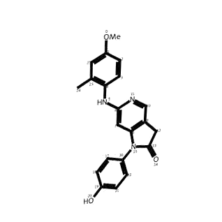 COc1ccc(Nc2cc3c(cn2)CC(=O)N3c2ccc(O)cc2)c(C)c1